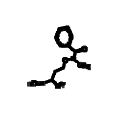 CCCCCCCCCCC(CCC)CCON(OC(C)=O)C(=O)c1ccccc1